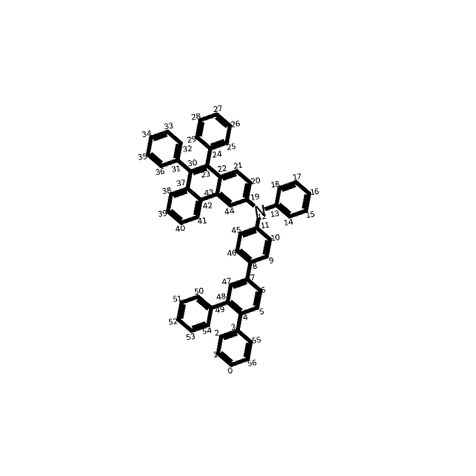 c1ccc(-c2ccc(-c3ccc(N(c4ccccc4)c4ccc5c(-c6ccccc6)c(-c6ccccc6)c6ccccc6c5c4)cc3)cc2-c2ccccc2)cc1